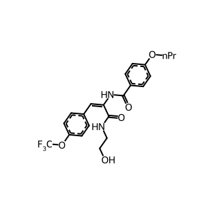 CCCOc1ccc(C(=O)NC(=Cc2ccc(OC(F)(F)F)cc2)C(=O)NCCO)cc1